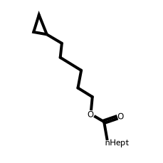 CCCCCCCC(=O)OCCCCCC1CC1